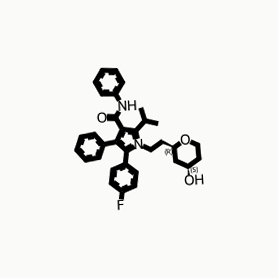 CC(C)c1c(C(=O)Nc2ccccc2)c(-c2ccccc2)c(-c2ccc(F)cc2)n1CC[C@@H]1C[C@@H](O)CCO1